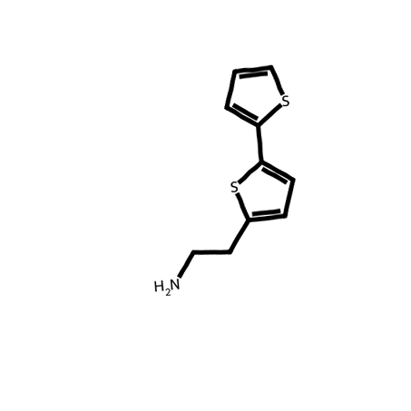 NCCc1ccc(-c2cccs2)s1